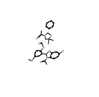 COc1ccc(OC(=O)[C@@H]2N(C(C)=O)[C@H](c3ccccc3)SC2(C)C)c(C2Sc3cc(Cl)ccc3N2C(C)=O)c1